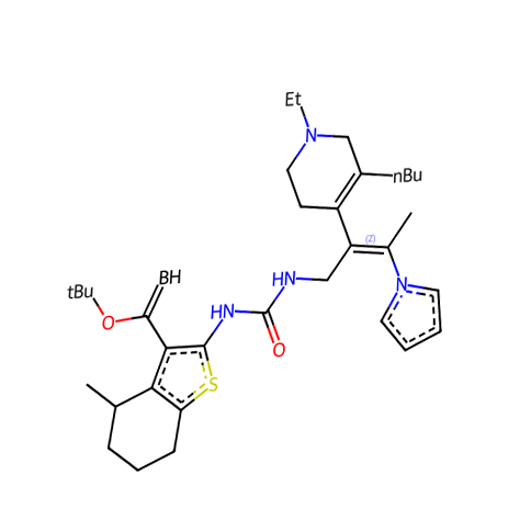 B=C(OC(C)(C)C)c1c(NC(=O)NC/C(C2=C(CCCC)CN(CC)CC2)=C(/C)n2cccc2)sc2c1C(C)CCC2